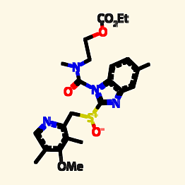 CCOC(=O)OCCN(C)C(=O)n1c([S+]([O-])Cc2ncc(C)c(OC)c2C)nc2cc(C)ccc21